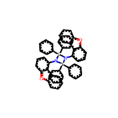 c1ccc([Si]2(c3ccccc3)N(c3cccc4oc5ccccc5c34)[Si](c3ccccc3)(c3ccccc3)N2c2cccc3oc4ccccc4c23)cc1